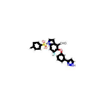 Cc1ccc(S(=O)(=O)n2ccc3c(C=O)c(Oc4cccc(-c5cc[nH]n5)c4)c(F)cc32)cc1